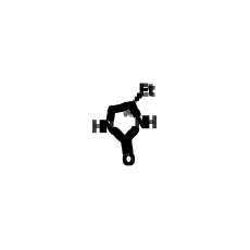 CC[C@H]1CNC(=O)N1